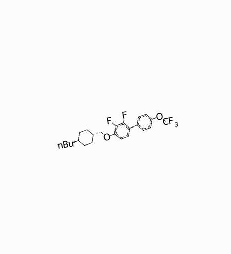 CCCC[C@H]1CC[C@H](COc2ccc(-c3ccc(OC(F)(F)F)cc3)c(F)c2F)CC1